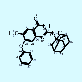 Cc1cc2c(=O)[nH]c(NC34CC5CC(CC(C5)C3)C4)nc2cc1Oc1ccccc1